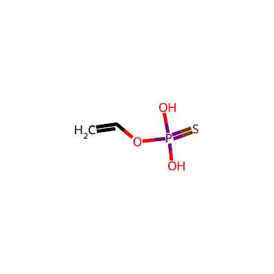 C=COP(O)(O)=S